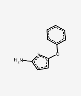 Nc1ccc(Oc2ccccc2)s1